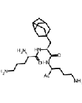 CC(=O)[C@H](CCCN)NC(=O)[C@H](CC12CC3CC(C1)C(C3)C2)NC(=O)[C@@H](N)CCCN